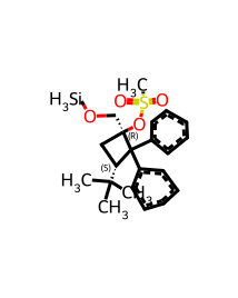 CC(C)(C)[C@@H]1C[C@@](CO[SiH3])(OS(C)(=O)=O)C1(c1ccccc1)c1ccccc1